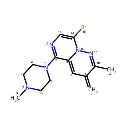 C=C1C=C2C(N3CCN(C)CC3)=NC=C(Br)N2N=C1C